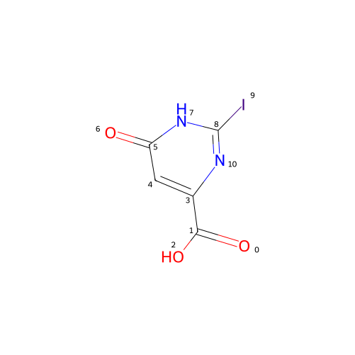 O=C(O)c1cc(=O)[nH]c(I)n1